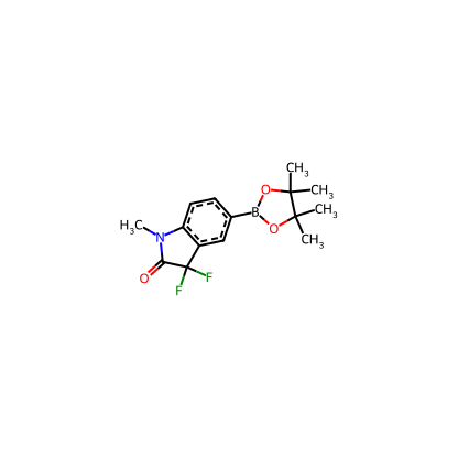 CN1C(=O)C(F)(F)c2cc(B3OC(C)(C)C(C)(C)O3)ccc21